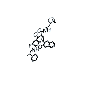 CC(CNc1c(F)cc2c(=O)c(C(=O)NCCC3CCCN3C)cn3c2c1Oc1cc2ccccc2cc1-3)c1ccccc1